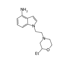 CCC1CN(CCn2ccc3c(N)cccc32)CCO1